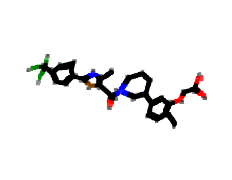 Cc1ccc(C2CCCN(C(=O)c3sc(-c4ccc(C(F)(F)F)cc4)nc3C)C2)cc1OCC(=O)O